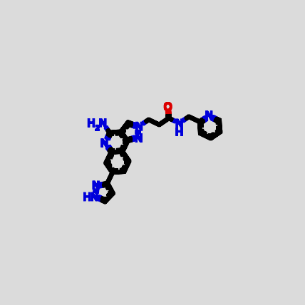 Nc1nc2cc(-c3cc[nH]n3)ccc2c2nn(CCC(=O)NCc3ccccn3)cc12